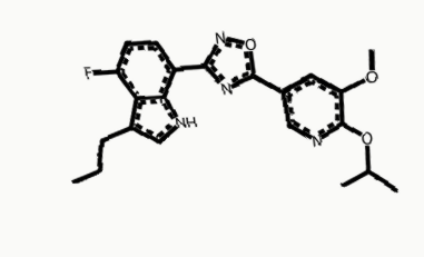 CCCc1c[nH]c2c(-c3noc(-c4cnc(OC(C)C)c(OC)c4)n3)ccc(F)c12